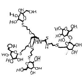 C[C@@H]1C(CSCCNC(=S)NCC(COCCCS[C@H]2OC(CO)[C@@H](O)[C@H](O)C2O)(COCCCS[C@H]2OC(CO)[C@@H](O)[C@H](O)C2O)COCCCS[C@H]2OC(CO)[C@@H](O)[C@H](O)C2O)O[C@H](O[C@@H]2C(CO)O[C@H](O)C(O)[C@H]2O)C(O)[C@H]1O